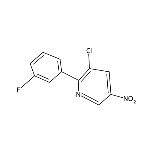 O=[N+]([O-])c1cnc(-c2cccc(F)c2)c(Cl)c1